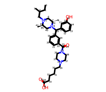 CCC(C)CN1C[C@H](C)N(C(c2cccc(O)c2)c2cccc(C(=O)N3CCN(CCCCCC(=O)O)CC3)c2)C[C@H]1C